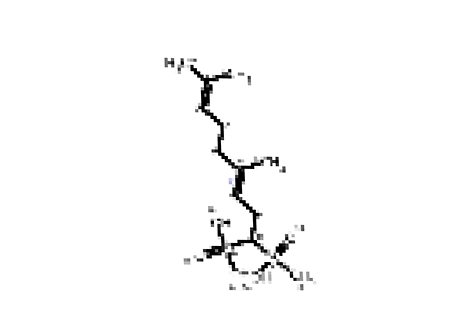 CC(C)=CCC/C(C)=C/CC(P(C)(=O)O)P(=O)(O)O